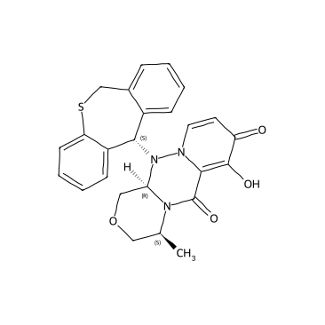 C[C@H]1COC[C@@H]2N1C(=O)c1c(O)c(=O)ccn1N2[C@H]1c2ccccc2CSc2ccccc21